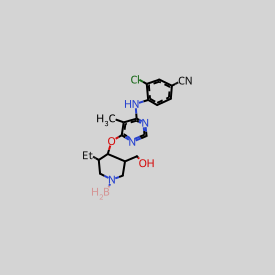 BN1CC(CC)C(Oc2ncnc(Nc3ccc(C#N)cc3Cl)c2C)C(CO)C1